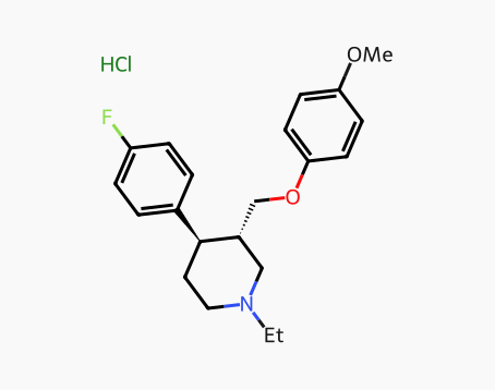 CCN1CC[C@@H](c2ccc(F)cc2)[C@H](COc2ccc(OC)cc2)C1.Cl